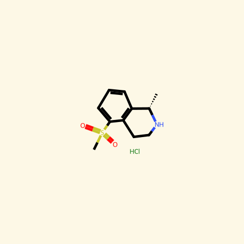 C[C@@H]1NCCc2c1cccc2S(C)(=O)=O.Cl